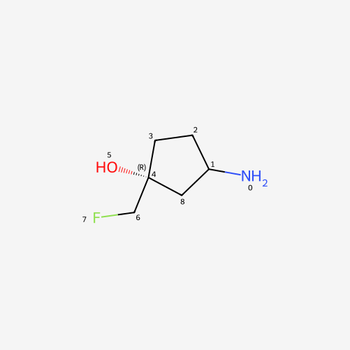 NC1CC[C@](O)(CF)C1